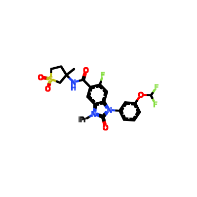 CC(C)n1c(=O)n(-c2cccc(OC(F)F)c2)c2cc(F)c(C(=O)NC3(C)CCS(=O)(=O)C3)cc21